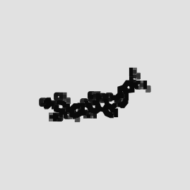 C[C@@H]1CN(c2ccc(Nc3cc(-c4ccnc(-n5ccn6c7c(cc6c5=O)CC(C)(C)C7)c4CO)cn(C)c3=O)nc2)[C@@](C)(O)CN1C1COC1